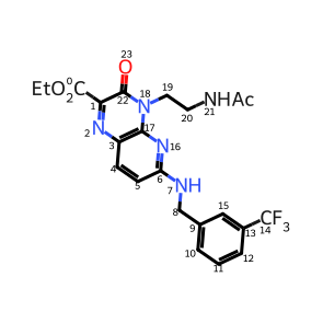 CCOC(=O)c1nc2ccc(NCc3cccc(C(F)(F)F)c3)nc2n(CCNC(C)=O)c1=O